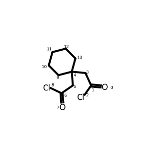 O=C(Cl)CC1(CC(=O)Cl)CCCCC1